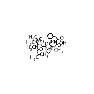 CC[C@H](C)[C@@H](C(CC(=O)N1CCC[C@H]1[C@H](OC)C(C)C(=O)N[C@@H](Cc1ccccc1)C(=O)O)OC)N(C)C(=O)CC(C)C